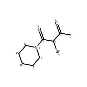 CC(=O)C(Br)C(=O)N1CCCCC1